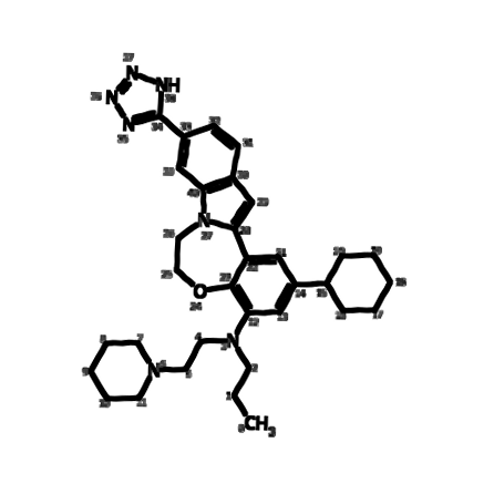 CCCN(CCN1CCCCC1)c1cc(C2CCCCC2)cc2c1OCCn1c-2cc2ccc(-c3nnn[nH]3)cc21